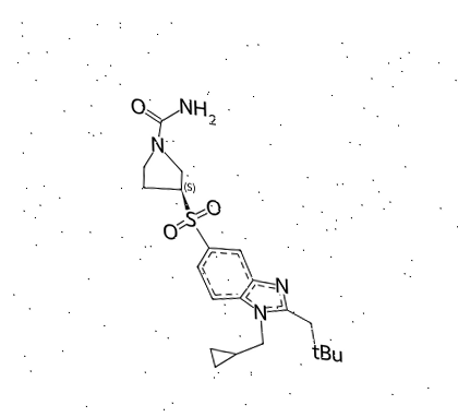 CC(C)(C)Cc1nc2cc(S(=O)(=O)[C@H]3CCN(C(N)=O)C3)ccc2n1CC1CC1